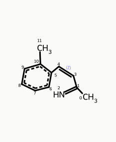 CC(=N)/C=C\c1ccccc1C